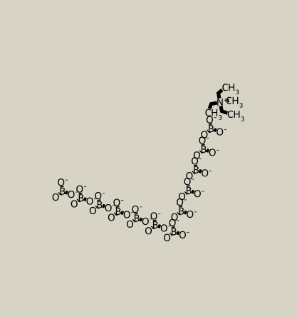 CC[N+](C)(CC)CC.[O-]B([O-])[O-].[O-]B([O-])[O-].[O-]B([O-])[O-].[O-]B([O-])[O-].[O-]B([O-])[O-].[O-]B([O-])[O-].[O-]B([O-])[O-].[O-]B([O-])[O-].[O-]B([O-])[O-].[O-]B([O-])[O-].[O-]B([O-])[O-].[O-]B([O-])[O-]